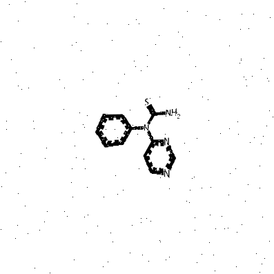 NC(=S)N(c1ccccc1)c1ccncn1